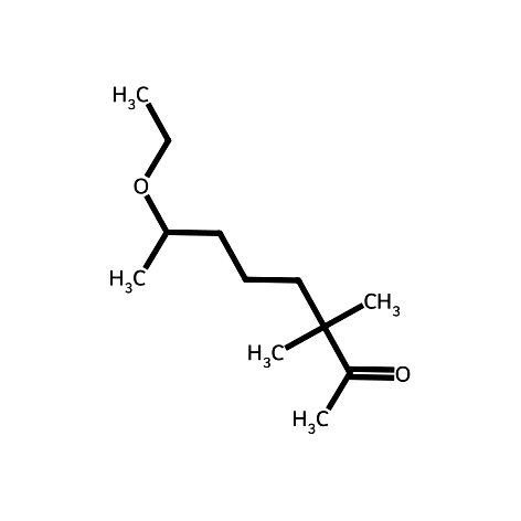 CCOC(C)CCCC(C)(C)C(C)=O